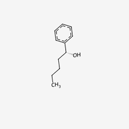 CCCC[C@@H](O)c1ccccc1